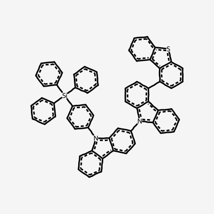 c1ccc([Si](c2ccccc2)(c2ccccc2)c2ccc(-n3c4ccccc4c4ccc(-n5c6ccccc6c6c(-c7cccc8sc9ccccc9c78)cccc65)cc43)cc2)cc1